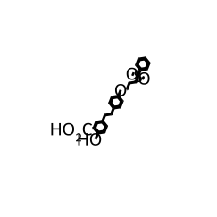 O=C(O)c1cc(CCc2ccc(OCCCS(=O)(=O)c3ccccc3)cc2)ccc1O